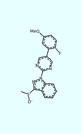 COc1ccc(F)c(-c2cnc(-n3nc([S+](C)[O-])c4cc[c]cc43)nc2)c1